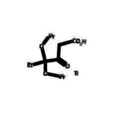 CCC(OC(C)C)(OC(C)C)C(=O)CC(=O)O.[Ti]